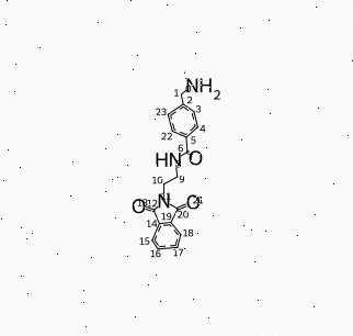 NCc1ccc(C(=O)NCCN2C(=O)c3ccccc3C2=O)cc1